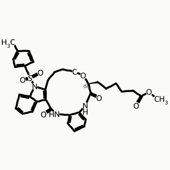 COC(=O)CCCCC[C@@H]1OCCCCc2c(c3ccccc3n2S(=O)(=O)c2ccc(C)cc2)C(=O)Nc2ccccc2NC1=O